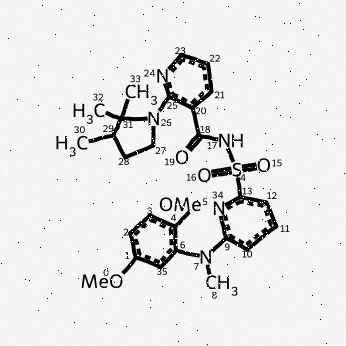 COc1ccc(OC)c(N(C)c2cccc(S(=O)(=O)NC(=O)c3cccnc3N3CCC(C)C3(C)C)n2)c1